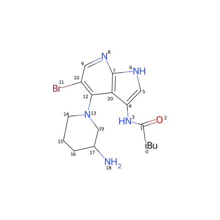 CCC(C)C(=O)Nc1c[nH]c2ncc(Br)c(N3CCCC(N)C3)c12